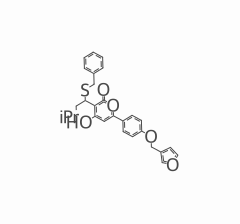 CC(C)CC(SCc1ccccc1)c1c(O)cc(-c2ccc(OCc3ccoc3)cc2)oc1=O